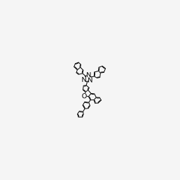 c1ccc(-c2ccc(-c3c4ccccc4cc4c3oc3ccc(-c5nc(-c6ccc7ccccc7c6)nc(-c6ccc7ccccc7c6)n5)cc34)cc2)cc1